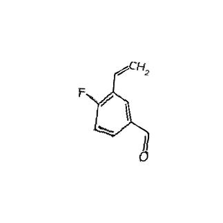 C=Cc1cc(C=O)ccc1F